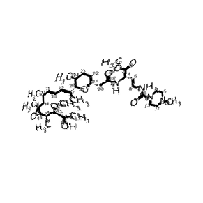 COC(=O)[C@H](CCNC(=O)N1CCN(C)CC1)NC(=O)C[C@H]1CC[C@H](C)[C@@H](/C(C)=C/C=C/[C@@H](C)C[C@@]2(C)O[C@@H]2[C@H](C)[C@@H](OC)[C@@H](C)O)O1